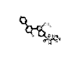 Cn1cc(C2=CC(c3ccccc3)=CCC2=S)c2ccc(S(=O)(=O)Nc3ncns3)cc21